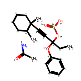 CC(N)=O.CCC(C#CC1(C)CCCCC1C)(Oc1ccccc1)OS(=O)O